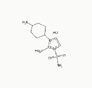 Cl.NC1CCC(c2ccn(S(N)(=O)=O)c2C(=O)O)CC1